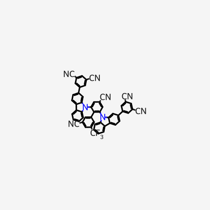 N#Cc1cc(C#N)cc(-c2ccc3c4ccccc4n(-c4cc(C#N)cc(-n5c6ccccc6c6ccc(-c7cc(C#N)cc(C#N)c7)cc65)c4-c4cc(C#N)cc(C(F)(F)F)c4)c3c2)c1